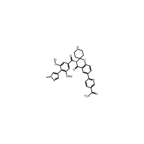 CCOc1cc(C(=O)[C@@H]2C(=O)c3cc(-c4ccc(C(N)=O)cn4)ccc3OC23CCNCC3)cc(OC)c1-c1cnn(C)c1